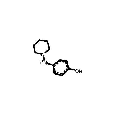 Oc1ccc(NN2CCCCC2)cc1